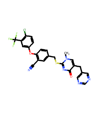 Cn1cc(Cc2cncnc2)c(=O)nc1SCc1ccc(Oc2ccc(Cl)c(C(F)(F)F)c2)c(C#N)c1